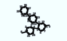 Cc1ccc(-c2ccc(C)cc2-c2ccc(-c3ccccn3)nc2)cc1